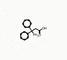 O=C(O)CC(P)(c1ccccc1)c1ccccc1